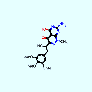 COc1cc(CC(C#N)c2nn(C)c3nc(N)nc(O)c3c2=O)cc(OC)c1OC